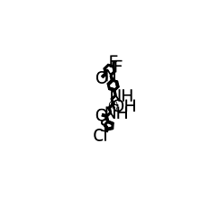 O=C(NC[C@H](O)CNc1ccc(N2CC(F)(F)CCC2=O)cc1)c1ccc(Cl)s1